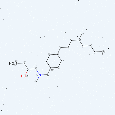 CC(C)CCCC(C)CCCC1CCC(CN(C)CC(O)CS(=O)(=O)O)CC1